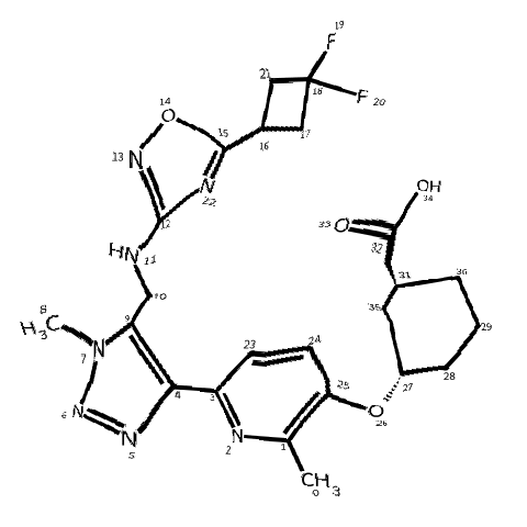 Cc1nc(-c2nnn(C)c2CNc2noc(C3CC(F)(F)C3)n2)ccc1O[C@H]1CCC[C@H](C(=O)O)C1